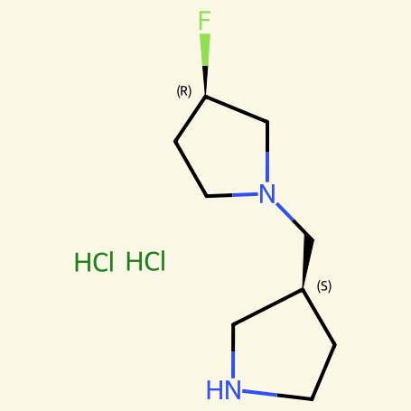 Cl.Cl.F[C@@H]1CCN(C[C@H]2CCNC2)C1